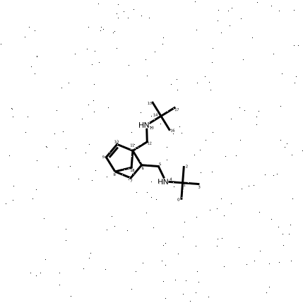 CC(C)(C)NCC1CC2C=CC1(CNC(C)(C)C)C2